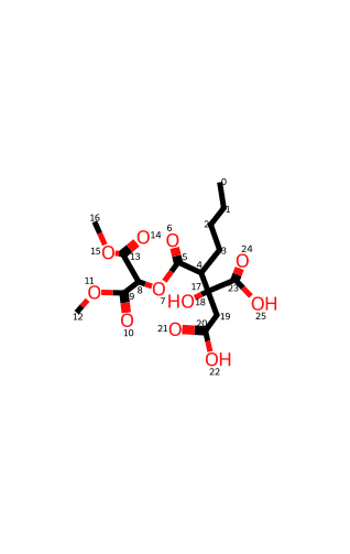 CCCCC(C(=O)OC(C(=O)OC)C(=O)OC)C(O)(CC(=O)O)C(=O)O